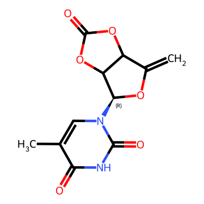 C=C1O[C@@H](n2cc(C)c(=O)[nH]c2=O)C2OC(=O)OC12